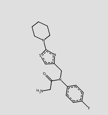 NCC(=O)N(Cc1csc(N2CCCCC2)n1)c1ccc(F)cc1